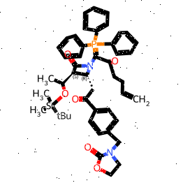 C=CCCC(=O)C(N1C(=O)[C@H](C(C)O[Si](C)(C)C(C)(C)C)[C@H]1CC(=O)c1ccc(CN2CCOC2=O)cc1)=P(c1ccccc1)(c1ccccc1)c1ccccc1